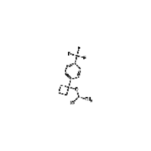 CC(O)OC1(c2ccc(C(F)(F)F)cc2)CCC1